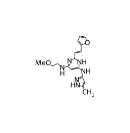 COCCNC1=NC(/C=C/c2ccco2)NC(Nc2cc(C)[nH]n2)=C1